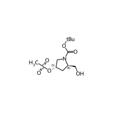 CC(C)(C)OC(=O)N1C[C@@H](OS(C)(=O)=O)C[C@@H]1CO